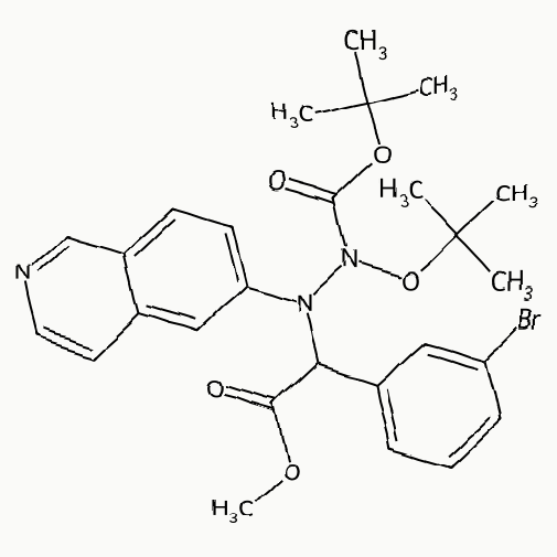 COC(=O)C(c1cccc(Br)c1)N(c1ccc2cnccc2c1)N(OC(C)(C)C)C(=O)OC(C)(C)C